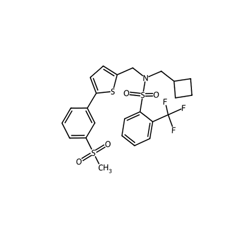 CS(=O)(=O)c1cccc(-c2ccc(CN(CC3CCC3)S(=O)(=O)c3ccccc3C(F)(F)F)s2)c1